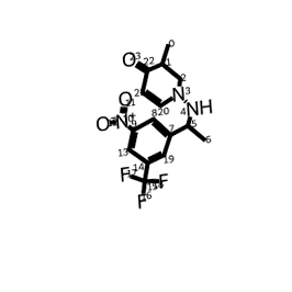 CC1CN(NC(C)c2cc([N+](=O)[O-])cc(C(F)(F)F)c2)C=CC1=O